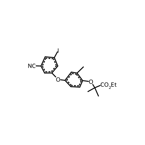 CCOC(=O)C(C)(C)Oc1ccc(Oc2cc(I)cc(C#N)c2)cc1C